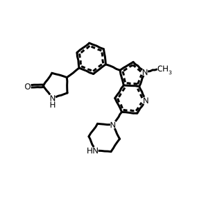 Cn1cc(-c2cccc(C3CNC(=O)C3)c2)c2cc(N3CCNCC3)cnc21